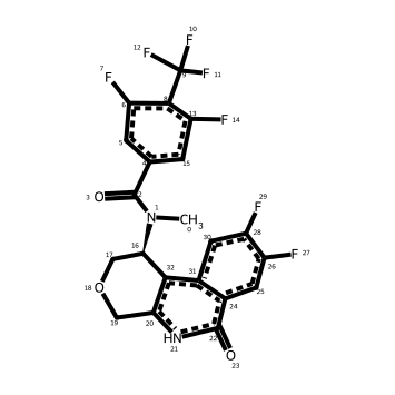 CN(C(=O)c1cc(F)c(C(F)(F)F)c(F)c1)[C@@H]1COCc2[nH]c(=O)c3cc(F)c(F)cc3c21